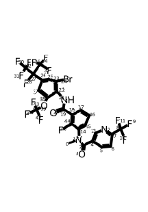 CN(C(=O)c1ccc(C(F)(F)F)nc1)c1cccc(C(=O)Nc2c(Br)cc(C(F)(C(F)(F)F)C(F)(F)F)cc2OC(F)(F)F)c1F